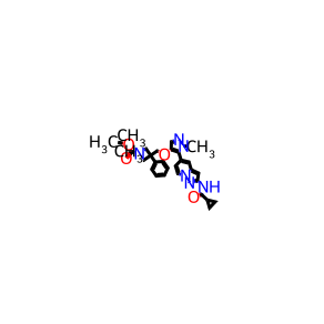 Cn1ncc(OCC2(c3ccccc3)CN(C(=O)OC(C)(C)C)C2)c1-c1ccn2nc(NC(=O)C3CC3)cc2c1